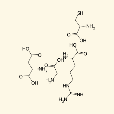 N=C(N)NCCC[C@H](N)C(=O)O.NCC(=O)O.N[C@@H](CC(=O)O)C(=O)O.N[C@@H](CS)C(=O)O